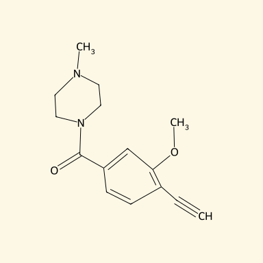 C#Cc1ccc(C(=O)N2CCN(C)CC2)cc1OC